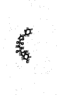 O=C(NNS(=O)(=O)c1ccc(-c2ccccn2)s1)c1cc2cc(Cl)ccc2[nH]1